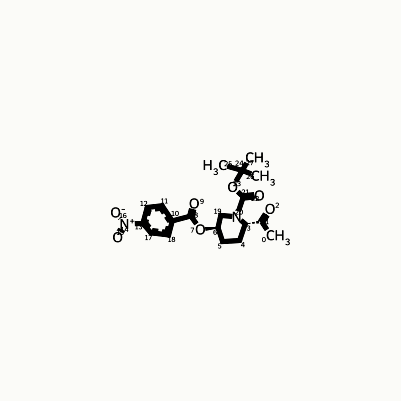 CC(=O)[C@@H]1CC[C@@H](OC(=O)c2ccc([N+](=O)[O-])cc2)CN1C(=O)OC(C)(C)C